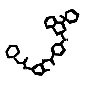 Cc1ccc(NC(=O)CN2CCOCC2)cc1NC(=O)c1ccc(Nc2nc(C3(C)C=CC=CC3)c3ccccc3n2)cc1